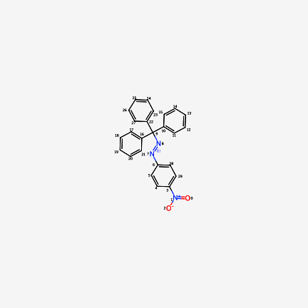 O=[N+]([O-])c1ccc(/N=N/C(c2ccccc2)(c2ccccc2)c2ccccc2)cc1